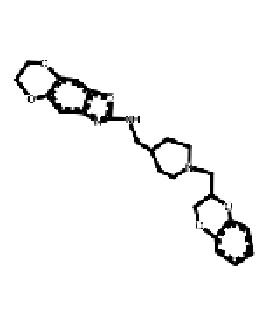 c1ccc2c(c1)OCC(CN1CCC(CNc3nc4cc5c(cc4s3)OCCO5)CC1)O2